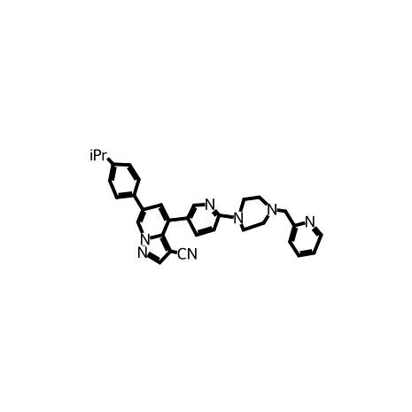 CC(C)c1ccc(-c2cc(-c3ccc(N4CCN(Cc5ccccn5)CC4)nc3)c3c(C#N)cnn3c2)cc1